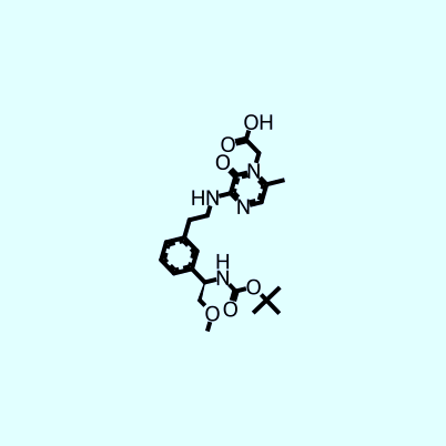 COC[C@H](NC(=O)OC(C)(C)C)c1cccc(CCNc2ncc(C)n(CC(=O)O)c2=O)c1